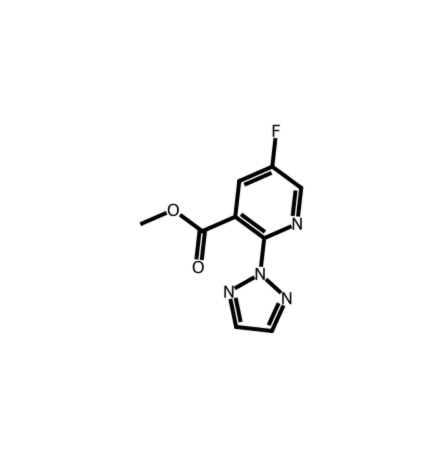 COC(=O)c1cc(F)cnc1-n1nccn1